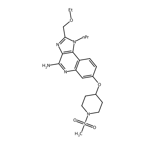 CCCn1c(COCC)nc2c(N)nc3cc(OC4CCN(S(C)(=O)=O)CC4)ccc3c21